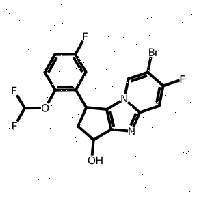 OC1CC(c2cc(F)ccc2OC(F)F)c2c1nc1cc(F)c(Br)cn21